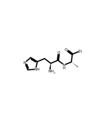 CCC(=O)[C@H](C)NC(=O)[C@@H](N)Cc1cnc[nH]1